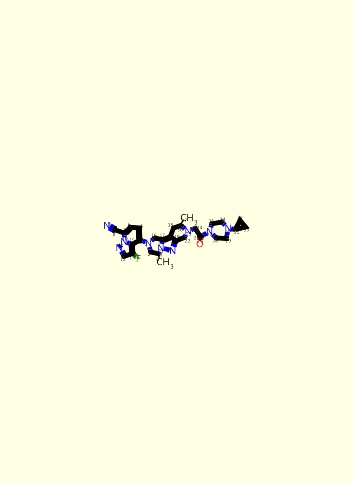 C[C@@H]1CN(c2ccc(C#N)n3ncc(F)c23)Cc2c3c(nn21)CN(CC(=O)N1CCN(C2CC2)CC1)[C@@H](C)C3